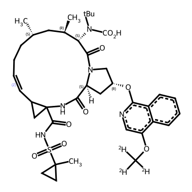 [2H]C([2H])([2H])Oc1cnc(O[C@@H]2C[C@H]3C(=O)NC4(C(=O)NS(=O)(=O)C5(C)CC5)CC4/C=C\CC[C@H](C)C[C@@H](C)[C@H](N(C(=O)O)C(C)(C)C)C(=O)N3C2)c2ccccc12